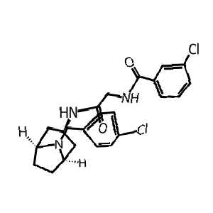 O=C(CNC(=O)c1cccc(Cl)c1)N[C@H]1C[C@H]2CC[C@@H](C1)N2Cc1ccc(Cl)cc1